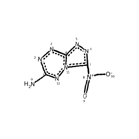 Nc1nnc2nnc([N+](=O)[O-])n2n1